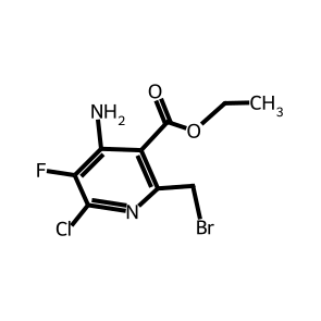 CCOC(=O)c1c(CBr)nc(Cl)c(F)c1N